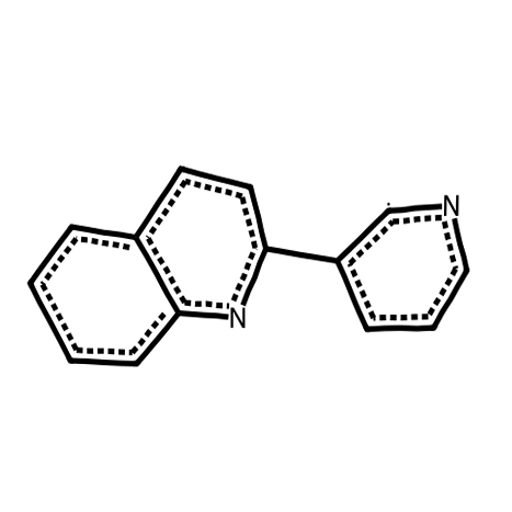 [c]1ncccc1-c1ccc2ccccc2n1